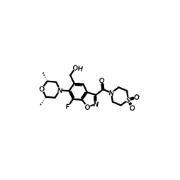 C[C@@H]1CN(c2c(CO)cc3c(C(=O)N4CCS(=O)(=O)CC4)noc3c2F)C[C@H](C)O1